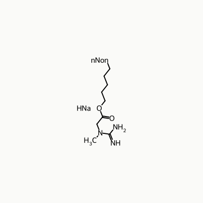 CCCCCCCCCCCCCCOC(=O)CN(C)C(=N)N.[NaH]